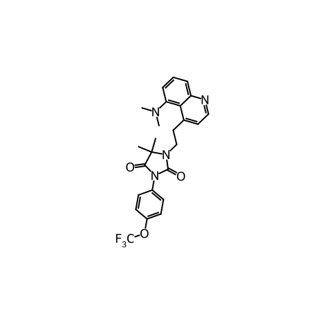 CN(C)c1cccc2nccc(CCN3C(=O)N(c4ccc(OC(F)(F)F)cc4)C(=O)C3(C)C)c12